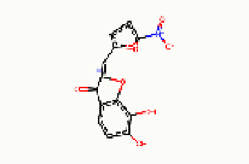 O=C1/C(=C/c2ccc([N+](=O)[O-])o2)Oc2c1ccc(O)c2O